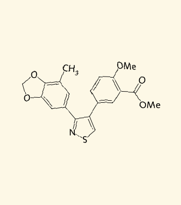 COC(=O)c1cc(-c2csnc2-c2cc(C)c3c(c2)OCO3)ccc1OC